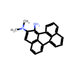 CN(C)c1cc2cccc3c4cccc5cccc(c(c1N)c23)c54